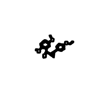 CCOc1ccc(C2CC2C(=O)c2cc(OC)ccc2OC)cc1